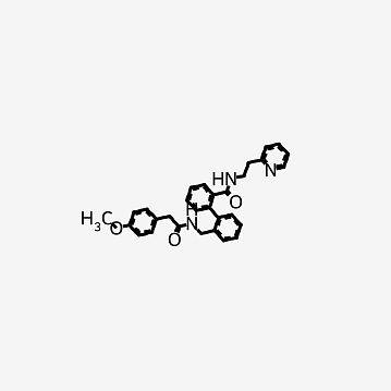 COc1ccc(CC(=O)NCc2ccccc2-c2ccccc2C(=O)NCCc2ccccn2)cc1